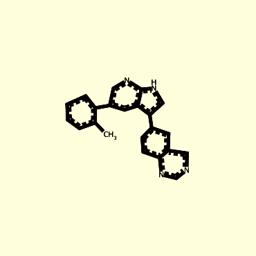 Cc1ccccc1-c1cnc2[nH]cc(-c3ccc4ncncc4c3)c2c1